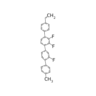 C=Cc1ccc(-c2ccc(-c3ccc(-c4ccc(C)cc4)c(F)c3)c(F)c2F)cc1